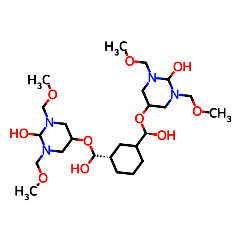 COCN1CC(OC(O)[C@H]2CCCC([C@H](O)OC3CN(COC)C(O)N(COC)C3)C2)CN(COC)C1O